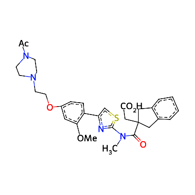 COc1cc(OCCN2CCN(C(C)=O)CC2)ccc1-c1csc(N(C)C(=O)C2(CC(=O)O)Cc3ccccc3C2)n1